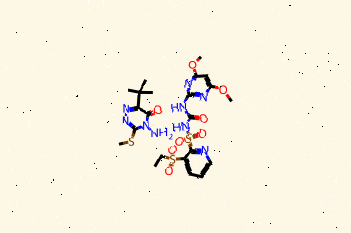 CCS(=O)(=O)c1cccnc1S(=O)(=O)NC(=O)Nc1nc(OC)cc(OC)n1.CSc1nnc(C(C)(C)C)c(=O)n1N